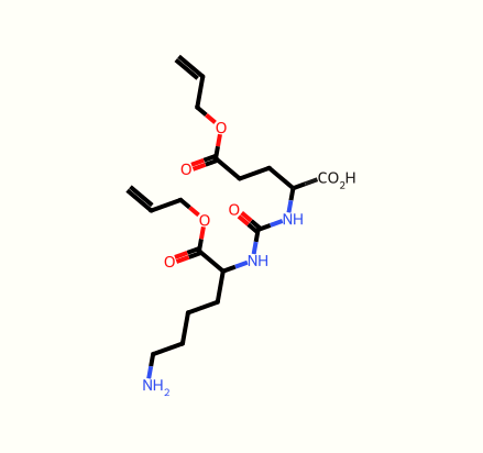 C=CCOC(=O)CCC(NC(=O)NC(CCCCN)C(=O)OCC=C)C(=O)O